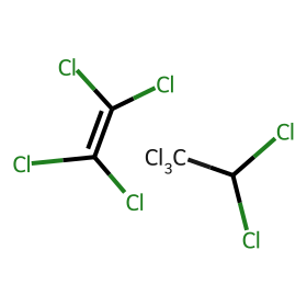 ClC(Cl)=C(Cl)Cl.ClC(Cl)C(Cl)(Cl)Cl